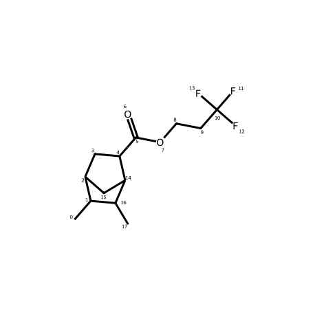 CC1C2CC(C(=O)OCCC(F)(F)F)C(C2)C1C